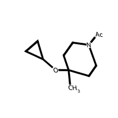 CC(=O)N1CCC(C)(OC2CC2)CC1